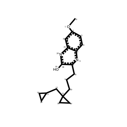 COc1ccc2nc(CCCC3(CC4CC4)CC3)c(O)nc2c1